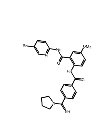 COc1ccc(NC(=O)c2ccc(C(=N)N3CCCC3)cc2)c(C(=O)Nc2ccc(Br)cn2)c1